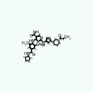 C=CC(=O)N1CCC[C@@H](n2cc(Nc3ncc(C(N)=O)c(Nc4c(C)cc(C(=O)NC5CCCC5)cc4OC)n3)cn2)C1